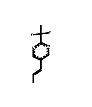 C/C=C/c1cnc(C(C)(F)F)nc1